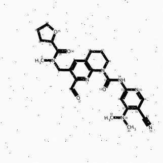 CN(Cc1cc2c(nc1C=O)N(C(=O)Nc1cc(N(C)C)c(C#N)cn1)CCC2)C(=O)C1CCCO1